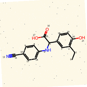 CCc1cc(C(Nc2ccc(C#N)cc2)C(=O)O)ccc1O